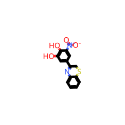 O=[N+]([O-])c1cc(C2=Nc3ccccc3SC2)cc(O)c1O